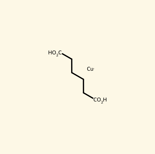 O=C(O)CCCCC(=O)O.[Cu]